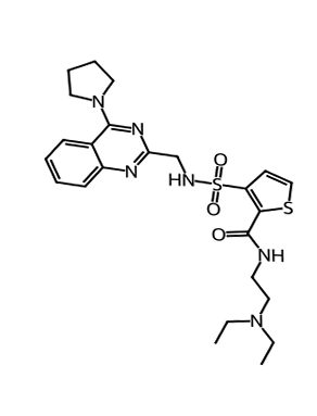 CCN(CC)CCNC(=O)c1sccc1S(=O)(=O)NCc1nc(N2CCCC2)c2ccccc2n1